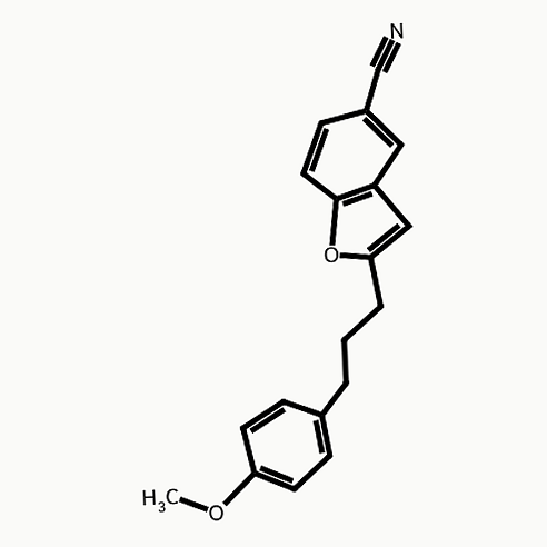 COc1ccc(CCCc2cc3cc(C#N)ccc3o2)cc1